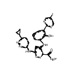 CNC(=O)c1nnc(Nc2ccc(C3CC3)nn2)cc1Nc1cccc(-c2ncc(F)cn2)c1OC